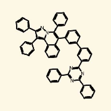 c1ccc(-c2nc(-c3ccccc3)nc(-c3cccc(-c4cccc(-c5c(-c6ccccc6)n6nc(-c7ccccc7)c(-c7ccccc7)c6c6ccccc56)c4)c3)n2)cc1